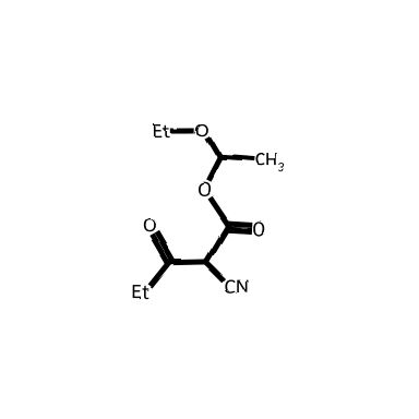 CCOC(C)OC(=O)C(C#N)C(=O)CC